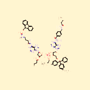 COc1ccc(C(OCC2O[C@@H](n3cnc4c(NC(=O)c5ccc(CNC(=O)CCC(C)C)cc5)ncnc43)CC2OP(=O)(OCCC#N)OC[C@H]2OC(n3cnc4c(NC(=O)CCCN(C)C(=O)OCC5c6ccccc6-c6ccccc65)ncnc43)CC2OC(=O)CCC(C)=O)(c2ccccc2)c2ccc(OC)cc2)cc1